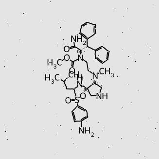 COC(=O)N(CCN(C)[C@@H]1CNC[C@H]1NC(CC(C)C)S(=O)(=O)c1ccc(N)cc1)[C@H](C(N)=O)C(c1ccccc1)c1ccccc1